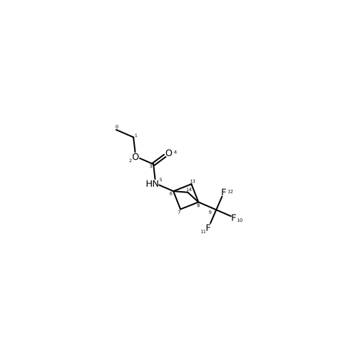 CCOC(=O)NC12CC(C(F)(F)F)(C1)C2